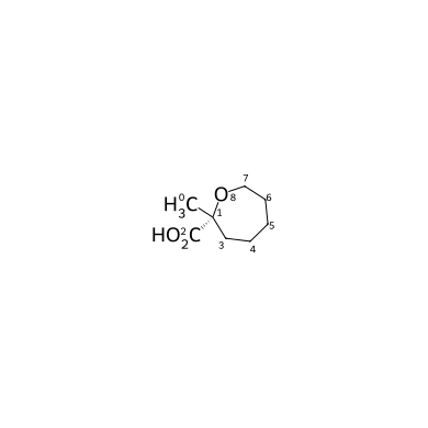 C[C@]1(C(=O)O)CCCCCO1